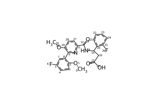 COc1ccc(F)cc1-c1nc(C(=O)NC(CC(=O)O)c2ccccc2F)ccc1OC